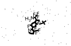 CC(C)(C)Cn1cc(C(N)C(F)(F)F)c2cc(F)c(-c3ncccc3C(F)(F)F)cc21